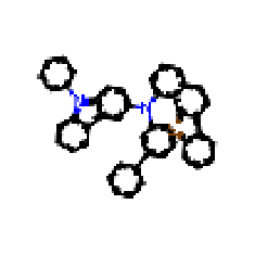 c1ccc(-c2cccc(N(c3ccc4c(c3)c3ccccc3n4-c3ccccc3)c3cccc4ccc5c6ccccc6sc5c34)c2)cc1